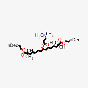 CCCCCCCCCCCCOC(=O)C(C)(C)CCCCCC(CCCCCC(C)(C)C(=O)OCCCCCCCCCCCC)OC(=O)CCN(C)C